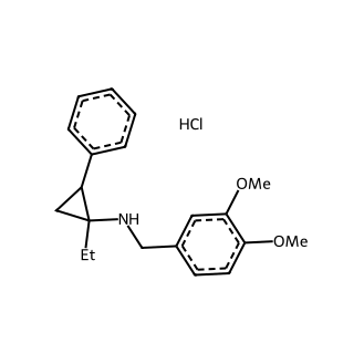 CCC1(NCc2ccc(OC)c(OC)c2)CC1c1ccccc1.Cl